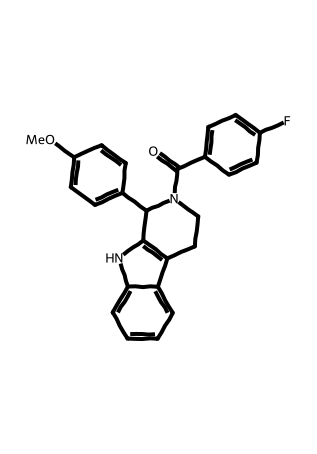 COc1ccc(C2c3[nH]c4ccccc4c3CCN2C(=O)c2ccc(F)cc2)cc1